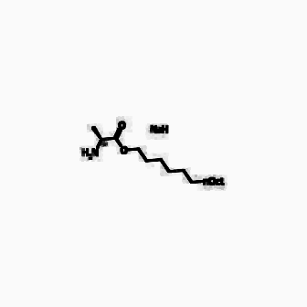 CCCCCCCCCCCCCCOC(=O)[C@H](C)N.[NaH]